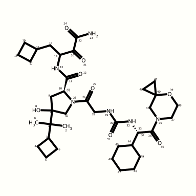 CC(C)(C1CCC1)C1(O)C[C@@H](C(=O)NC(CC2CCC2)C(=O)C(N)=O)N(C(=O)CNC(=O)N[C@H](C(=O)N2CCOC3(CC3)C2)C2CCCCC2)C1